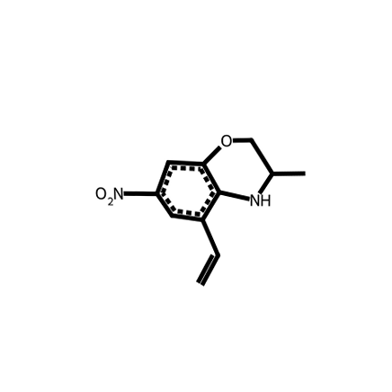 C=Cc1cc([N+](=O)[O-])cc2c1NC(C)CO2